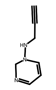 C#CCNN1C=CC=NC1